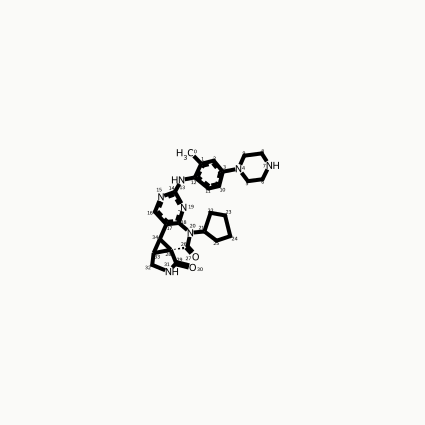 Cc1cc(N2CCNCC2)ccc1Nc1ncc2c(n1)N(C1CCCC1)C(=O)[C@]13C(=O)NCC1C23